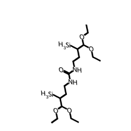 CCOC(OCC)C([SiH3])CCNC(=O)NCCC([SiH3])C(OCC)OCC